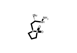 CC(C)(C)[C@@H](CN1CCCS1(=O)=O)NN